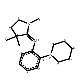 CN1CCC(C)(C)C1=Nc1ccccc1N1CCCCC1